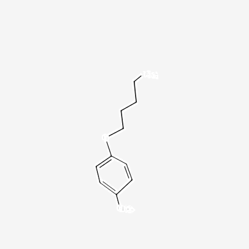 CCCCCCCCCCCCOc1ccc([C]=O)cc1